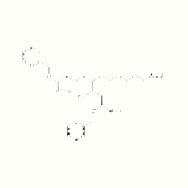 CCCCCCC(CC(O)C(CCCCCCC(=O)O)CCCC(CCCCC)OCc1ccccc1)OCc1ccccc1